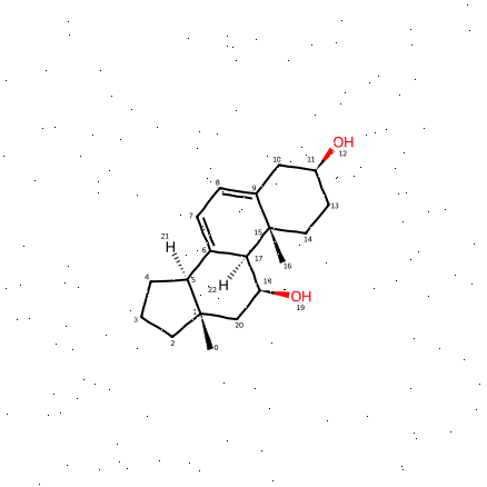 C[C@@]12CCC[C@H]1C1=CC=C3C[C@@H](O)CC[C@]3(C)[C@H]1[C@@H](O)C2